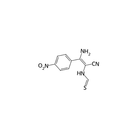 N#CC(NC=S)=C(N)c1ccc([N+](=O)[O-])cc1